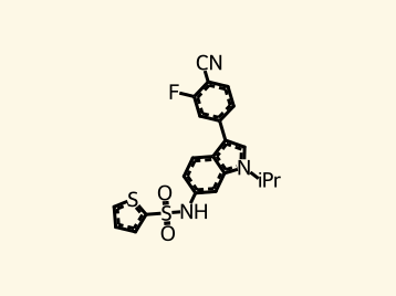 CC(C)n1cc(-c2ccc(C#N)c(F)c2)c2ccc(NS(=O)(=O)c3cccs3)cc21